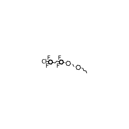 CCCC[C@H]1CC[C@H](CC[C@H]2CC[C@H](c3cc(F)c(CCc4cc(F)c(Cl)c(F)c4)c(F)c3)CC2)CC1